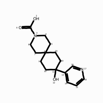 O=C(O)N1CCC2(CC1)CCC(O)(c1cccnc1)CC2